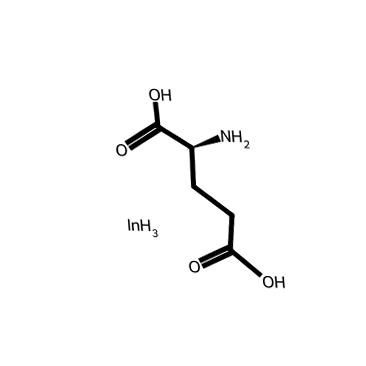 N[C@@H](CCC(=O)O)C(=O)O.[InH3]